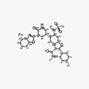 CNC(=O)c1c(-c2ccc(C)cc2)oc2cc(N(C)S(C)(=O)=O)c(-c3c[nH]c(=O)c(-c4nc5c(F)cccc5o4)c3)cc12